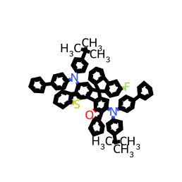 CC(C)(C)c1ccc(N(c2ccc(-c3ccccc3)cc2)c2cc3c(c4oc5ccccc5c24)-c2c(cc(N(c4ccc(-c5ccccc5)cc4)c4ccc(C(C)(C)C)cc4)c4c2sc2ccccc24)C32c3ccccc3-c3cc(F)ccc32)cc1